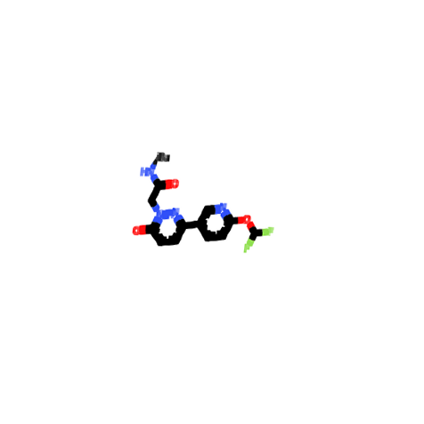 CC[C@H](C)NC(=O)Cn1nc(-c2ccc(OC(F)F)nc2)ccc1=O